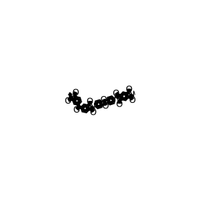 CN1C(=O)c2ccc(C(=O)c3ccc4c(c3)C(=O)N(c3ccc(S(=O)(=O)c5ccc(-n6c(=O)c7cc8c(=O)n(C)c(=O)c8cc7c6=O)cc5)cc3)C4=O)cc2C1=O